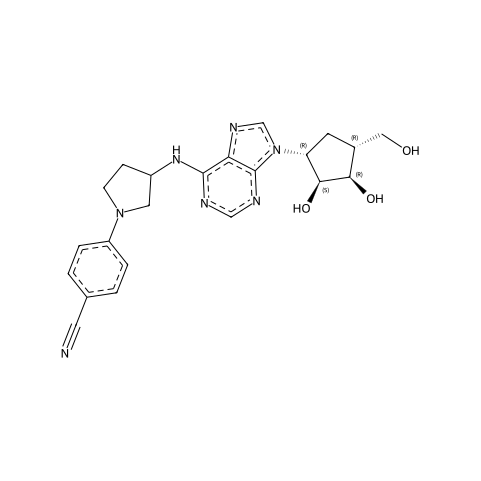 N#Cc1ccc(N2CCC(Nc3ncnc4c3ncn4[C@@H]3C[C@H](CO)[C@@H](O)[C@H]3O)C2)cc1